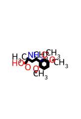 COc1ccc(OC)c(C(C)CC(C)(N)C(=O)O)c1OC